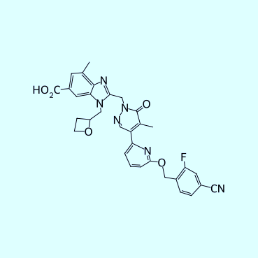 Cc1c(-c2cccc(OCc3ccc(C#N)cc3F)n2)cnn(Cc2nc3c(C)cc(C(=O)O)cc3n2CC2CCO2)c1=O